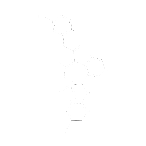 O=C(Nc1cccc(C(F)(F)F)c1)C1=C(O)CS(=O)(=O)N(Cc2ccc(Cl)cc2)c2ccccc21